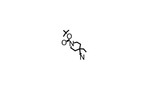 CCC1(C#N)CCN(C(=O)OC(C)(C)C)CC1